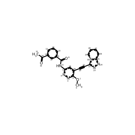 COc1nnc(NC(=O)c2cccc(C(C)=O)c2)cc1C#Cc1nnc2ccccn12